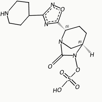 O=C1N2C[C@@H](CC[C@H]2c2nc(C3CCNCC3)no2)N1OS(=O)(=O)O